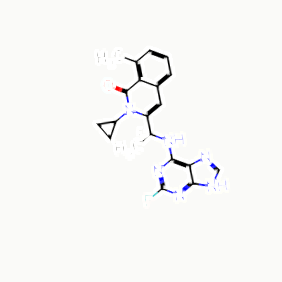 Cc1cccc2cc([C@H](C)Nc3nc(F)nc4[nH]cnc34)n(C3CC3)c(=O)c12